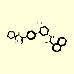 C[C@@H](N[C@H]1CCC[C@H](c2ccc(C(=O)NC3(C(=O)O)CCCC3)cc2)C1)c1cccc2ccccc12.Cl